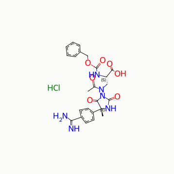 CC(=O)N(C[C@H](NC(=O)OCc1ccccc1)C(=O)O)N1C(=O)N[C@](C)(c2ccc(C(=N)N)cc2)C1=O.Cl